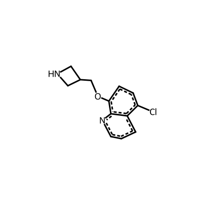 Clc1ccc(OCC2CNC2)c2ncccc12